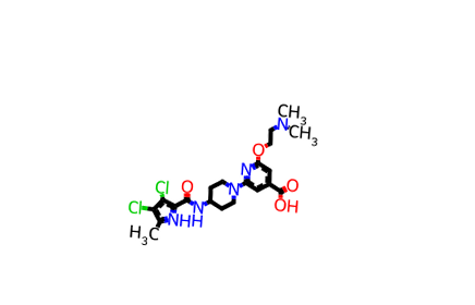 Cc1[nH]c(C(=O)NC2CCN(c3cc(C(=O)O)cc(OCCN(C)C)n3)CC2)c(Cl)c1Cl